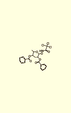 CC1OC(ONC(=O)C(Cl)(Cl)Cl)C(OC(=O)c2ccccc2)CC1OC(=O)c1ccccc1